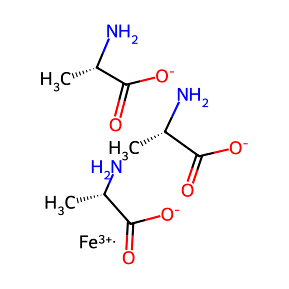 C[C@H](N)C(=O)[O-].C[C@H](N)C(=O)[O-].C[C@H](N)C(=O)[O-].[Fe+3]